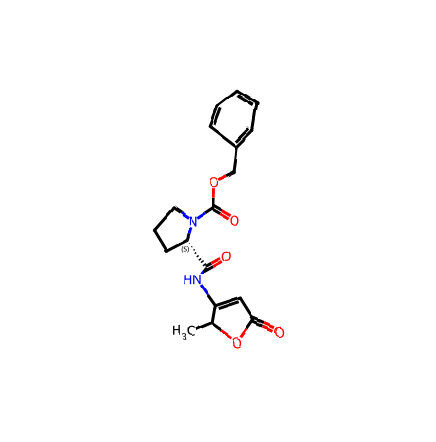 CC1OC(=O)C=C1NC(=O)[C@@H]1CCCN1C(=O)OCc1ccccc1